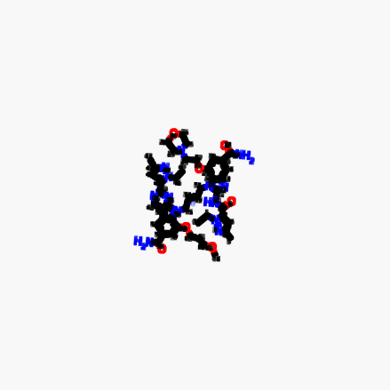 CCn1nc(C)cc1C(=O)Nc1nc2cc(C(N)=O)cc(OCCN3CCOCC3)c2n1C/C=C/Cn1c2nc(-c3cc(C)nn3CC)ncc2c2cc(C(N)=O)cc(OCCCOC)c21